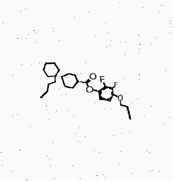 CCCCC1([C@H]2CC[C@H](C(=O)Oc3ccc(OCCC)c(F)c3F)CC2)CCCCC1